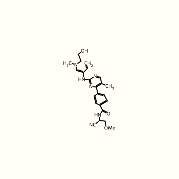 C=C/C(=C\N(C)CCO)Nc1ncc(C)c(-c2ccc(C(=O)N[C@H](C#N)COC)cc2)n1